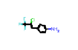 Nc1ccc(/C=C(\Cl)C(F)(F)F)cc1